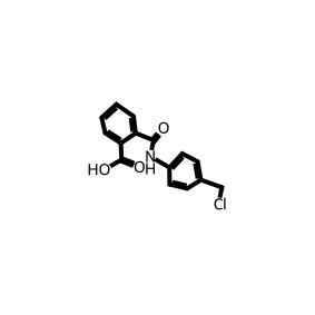 O=C(O)c1ccccc1C(=O)Nc1ccc(CCl)cc1